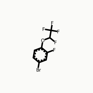 Fc1cc(Br)ccc1OC(F)C(F)(F)F